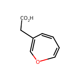 O=C(O)CC1=COC=CC=C1